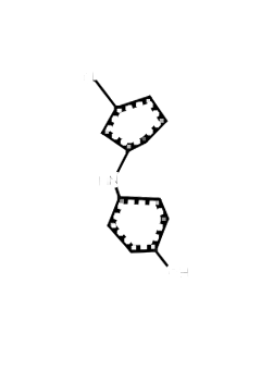 Oc1ccc(Nc2cccc(Cl)c2)cc1